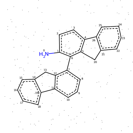 Nc1ccc2c(c1-c1cccc3c1Cc1ccccc1-3)Cc1ccccc1-2